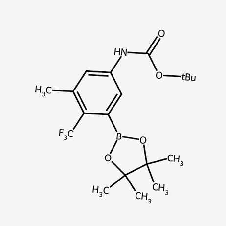 Cc1cc(NC(=O)OC(C)(C)C)cc(B2OC(C)(C)C(C)(C)O2)c1C(F)(F)F